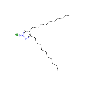 Br.CCCCCCCCCCc1c[nH]nc1CCCCCCCCCC